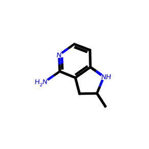 CC1Cc2c(ccnc2N)N1